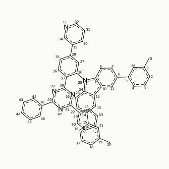 Cc1cccc(-c2ccc3c(c2)c2cc(-c4cccc(C)c4)ccc2n3-c2cc(-c3cccnc3)ccc2-c2nc(-c3ccccc3)nc(-c3ccccc3)n2)c1